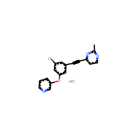 Cc1nccc(C#Cc2cc(Cl)cc(Oc3cccnc3)c2)n1.Cl